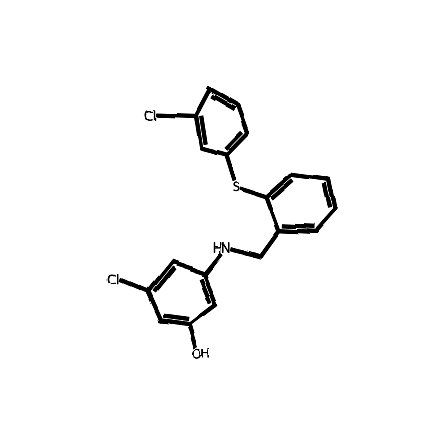 Oc1cc(Cl)cc(NCc2ccccc2Sc2cccc(Cl)c2)c1